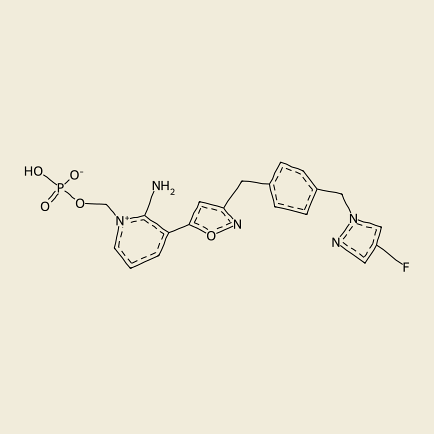 Nc1c(-c2cc(Cc3ccc(Cn4cc(F)cn4)cc3)no2)ccc[n+]1COP(=O)([O-])O